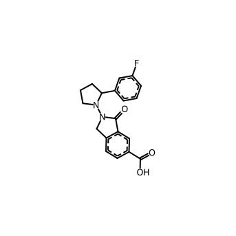 O=C(O)c1ccc2c(c1)C(=O)N(N1CCCC1c1cccc(F)c1)C2